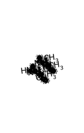 CCCCc1nc(C)n(-c2ccc3ccccc3n2)c(=O)c1Cc1ccc(-c2ccccc2-c2nnn[nH]2)cc1.CCCCc1nc(C)n(-c2ccc3ccccc3n2)c(=O)c1Cc1ccc(-c2ccccc2C#N)cc1